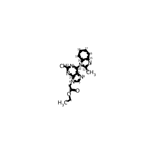 CCOC(=O)Cn1cnc2c(-n3c(C)nc4ccccc43)nc(Cl)nc21